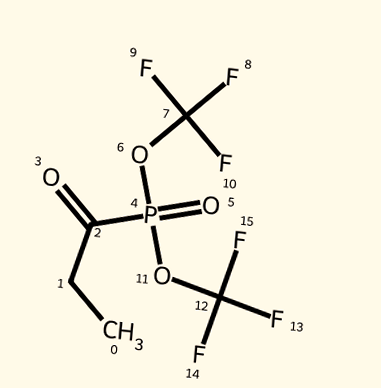 CCC(=O)P(=O)(OC(F)(F)F)OC(F)(F)F